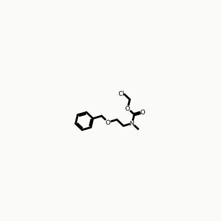 CN(CCOCc1ccccc1)C(=O)OCCl